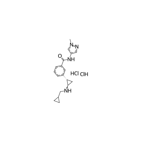 Cl.Cl.Cn1cc(NC(=O)c2cccc([C@@H]3C[C@H]3NCC3CC3)c2)cn1